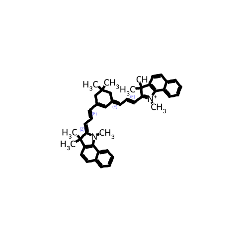 CN1/C(=C\C=C\C2=CC(=C/C=C/C3=[N+](C)c4c(ccc5ccccc45)C3(C)C)/CC(C)(C)C2)C(C)(C)c2ccc3ccccc3c21